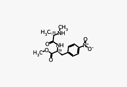 CN[C@@H](C)C(=O)N[C@@H](Cc1ccc([N+](=O)[O-])cc1)C(=O)OC